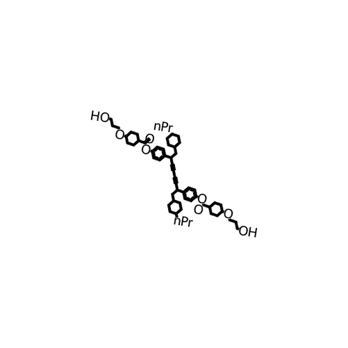 CCCC1CCC(CC(C#CC#CC(CC2CCC(CCC)CC2)c2ccc(OC(=O)C3CCC(OCCCO)CC3)cc2)c2ccc(OC(=O)C3CCC(OCCCO)CC3)cc2)CC1